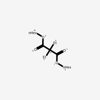 CCCCCCOC(=O)C(CC)(CC)C(=O)OCCCCCC